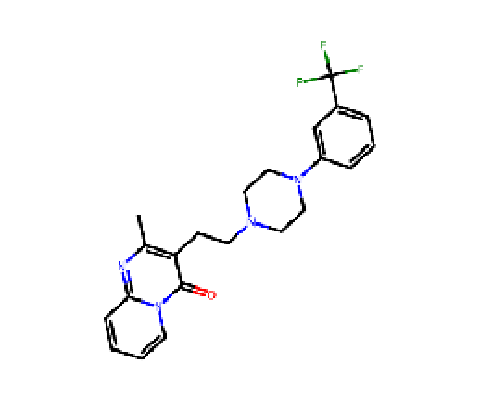 Cc1nc2ccccn2c(=O)c1CCN1CCN(c2cccc(C(F)(F)F)c2)CC1